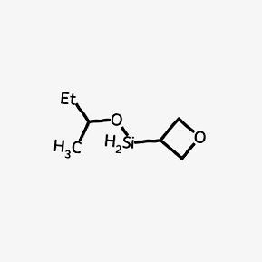 CCC(C)O[SiH2]C1COC1